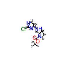 CC(C)(C)OC(=O)N1CCC[C@@H]1CNc1ccnc(Cl)n1